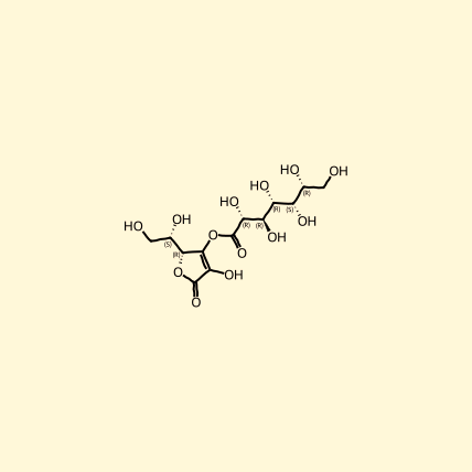 O=C1O[C@H]([C@@H](O)CO)C(OC(=O)[C@H](O)[C@H](O)[C@H](O)[C@@H](O)[C@H](O)CO)=C1O